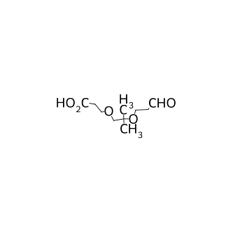 CC(C)(COCCC(=O)O)OCCC=O